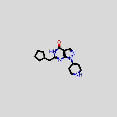 O=c1[nH]c(CC2CCCC2)nc2c1cnn2C1CCNCC1